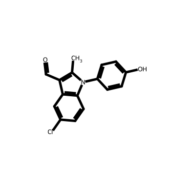 Cc1c(C=O)c2cc(Cl)ccc2n1-c1ccc(O)cc1